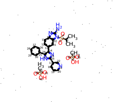 CC(C)S(=O)(=O)n1c(N)nc2ccc(-c3nc(-c4cccnc4)[nH]c3-c3ccccc3)cc21.CS(=O)(=O)O.CS(=O)(=O)O